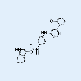 COc1ccccc1-c1cc(Nc2ccc(NC(=O)Oc3c[nH]c4ccccc34)cc2)ncn1